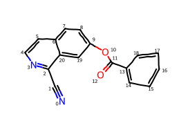 N#Cc1nccc2ccc(OC(=O)c3ccccc3)cc12